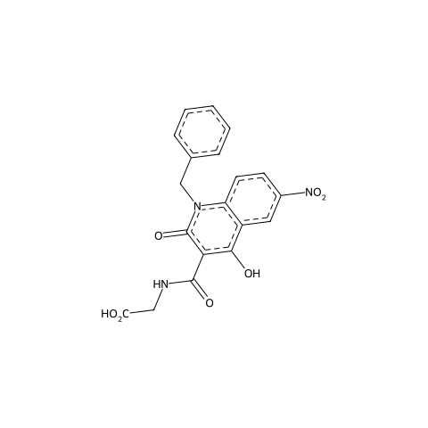 O=C(O)CNC(=O)c1c(O)c2cc([N+](=O)[O-])ccc2n(Cc2ccccc2)c1=O